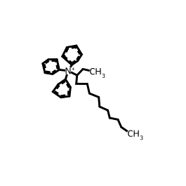 CCCCCCCCCCC(CC)[N+](c1ccccc1)(c1ccccc1)c1ccccc1